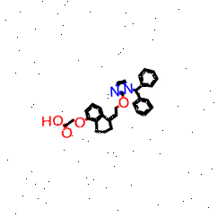 O=C(O)COc1cccc2c1CCC/C2=C/COc1nccn1C(c1ccccc1)c1ccccc1